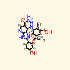 CCc1c(CO)cccc1Nc1c(C(N)=O)cnc2c1N(OC(=O)C(F)(F)F)C(c1ccc(O)cc1)N2